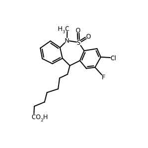 CN1c2ccccc2C(CCCCCCC(=O)O)c2cc(F)c(Cl)cc2S1(=O)=O